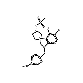 COc1ccc(CN2C[C@@]3(CC[C@H](OS(C)(=O)=O)C3)c3c2ncc(Br)c3Cl)cc1